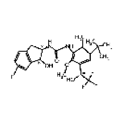 COC1=C(NC(=O)N[C@@H]2Cc3ccc(F)cc3[C@@H]2O)C(C)C(C(C)(C)C)C=C1[C@@H](O)C(F)(F)F